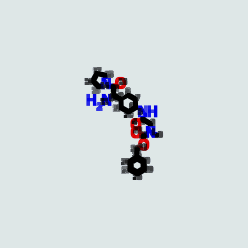 CN(CC(=O)N[C@H]1CC[C@H]([C@H](N)C(=O)N2CCCC2)CC1)C(=O)OCc1ccccc1